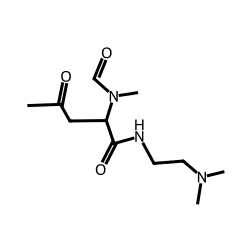 CC(=O)CC(C(=O)NCCN(C)C)N(C)C=O